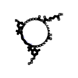 Cc1cc(SOO[O-])cc2c1N1CCCCCC(=O)NCCCCC(C(=O)NCCCC(=O)O)NC(=O)CCCCC[n+]3cc(Br)cc4c3N=C(/C=C/C=C/C=C/1C2(C)C)C4(C)C